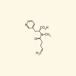 C=CCCC(=O)N(C)[C@@H](Cc1cccnc1)C(=O)O